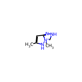 CC1=CC2=NNC[N+]2(C)N1